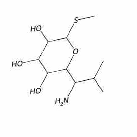 CSC1OC(C(N)C(C)C)C(O)C(O)C1O